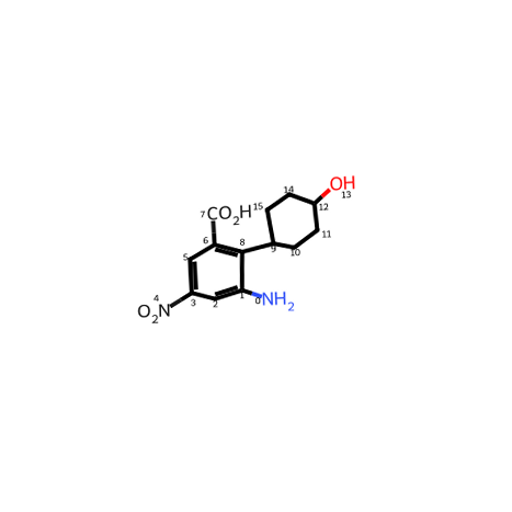 Nc1cc([N+](=O)[O-])cc(C(=O)O)c1C1CCC(O)CC1